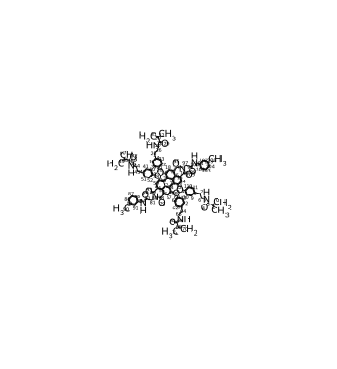 C=C(C)C(=O)NCCc1ccc(Oc2cc3c4c(cc(Oc5ccc(CCNC(=O)C(=C)C)cc5)c5c6c(Oc7ccc(CCNC(=O)C(=C)C)cc7)cc7c8c(cc(Oc9ccc(CCNC(=O)C(=C)C)cc9)c(c2c45)c86)C(=O)N(CC(=O)Nc2cccc(C)c2)C7=O)C(=O)N(CC(=O)Nc2cccc(C)c2)C3=O)cc1